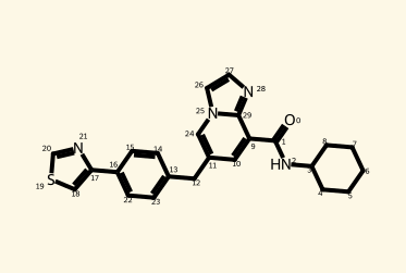 O=C(NC1CCCCC1)c1cc(Cc2ccc(-c3cscn3)cc2)cn2ccnc12